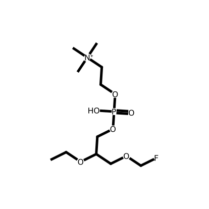 CCOC(COCF)COP(=O)(O)OCC[N+](C)(C)C